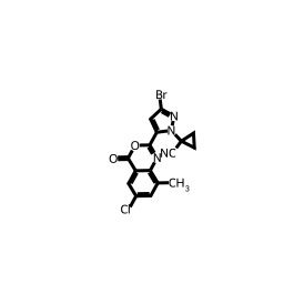 Cc1cc(Cl)cc2c(=O)oc(-c3cc(Br)nn3C3(C#N)CC3)nc12